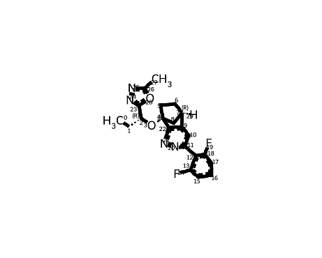 CC[C@@H](O[C@]12CC[C@H](C1)c1cc(-c3c(F)cccc3F)nnc12)c1nnc(C)o1